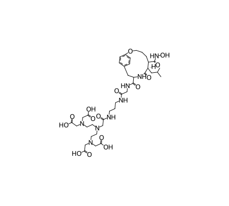 CC(C)C[C@H]1C(=O)NC(C(=O)NCC(=O)NCCCNC(=O)CN(CCN(CC(=O)O)CC(=O)O)CCN(CC(=O)O)CC(=O)O)Cc2ccc(cc2)OCCCC1C(=O)NO